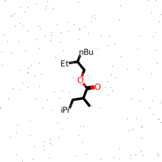 CCCCC(CC)COC(=O)C(C)CC(C)C